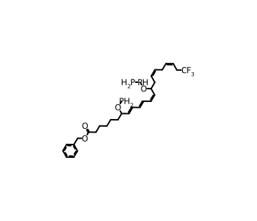 O=C(CCCCCC(/C=C/C=C/C=C\C(C/C=C\C/C=C\CC(F)(F)F)OPP)OP)OCc1ccccc1